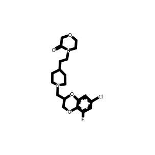 O=C1COCCN1CCC1CCN(CC2COc3c(F)cc(Cl)cc3O2)CC1